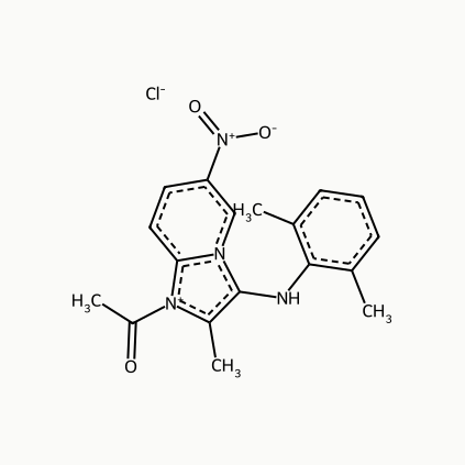 CC(=O)[n+]1c(C)c(Nc2c(C)cccc2C)n2cc([N+](=O)[O-])ccc21.[Cl-]